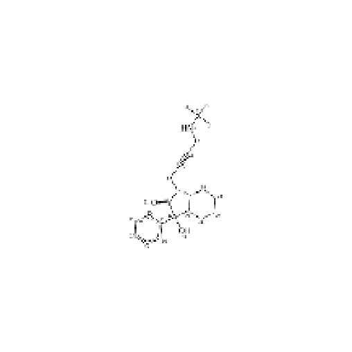 CC(C)(C)NCC#CCCC(=O)C(O)(c1ccccc1)C1CCCCC1